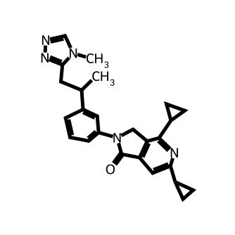 CC(Cc1nncn1C)c1cccc(N2Cc3c(cc(C4CC4)nc3C3CC3)C2=O)c1